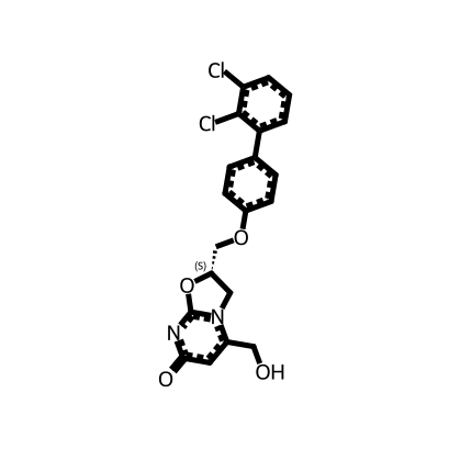 O=c1cc(CO)n2c(n1)O[C@H](COc1ccc(-c3cccc(Cl)c3Cl)cc1)C2